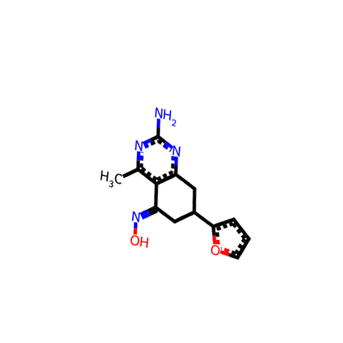 Cc1nc(N)nc2c1/C(=N/O)CC(c1ccco1)C2